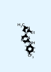 CCc1nc(C)cn1-c1cncc(Nc2ccc(C(F)(F)F)cc2)n1